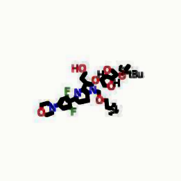 CC(C)(C)[Si](C)(C)O[C@@H]1CO[C@H]2[C@@H]1OC[C@H]2Oc1c(CCO)c2nc(-c3c(F)cc(N4CCOCC4)cc3F)ccc2n1COCC[Si](C)(C)C